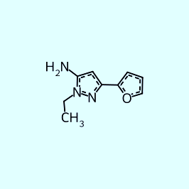 CCn1nc(-c2ccco2)cc1N